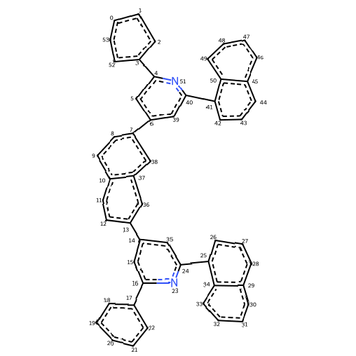 c1ccc(-c2cc(-c3ccc4ccc(-c5cc(-c6ccccc6)nc(-c6cccc7ccccc67)c5)cc4c3)cc(-c3cccc4ccccc34)n2)cc1